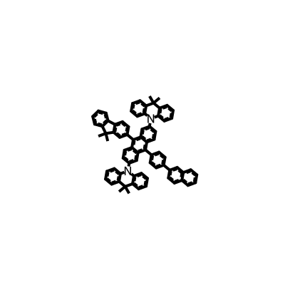 CC1(C)c2ccccc2-c2ccc(-c3c4ccc(N5c6ccccc6C(C)(C)c6ccccc65)cc4c(-c4ccc(-c5ccc6ccccc6c5)cc4)c4ccc(N5c6ccccc6C(C)(C)c6ccccc65)cc34)cc21